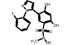 CCCN(C)S(=O)(=O)c1cc(-c2ccnn2-c2ccccc2F)c(O)cc1O